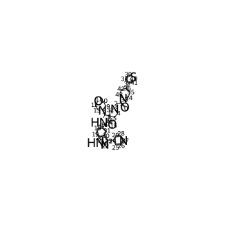 O=C(CN1CCC(CN2CCOCC2)(C(=O)Nc2ccc3[nH]nc(-c4ccncc4)c3c2)C1)N1CC=C(c2ccsc2)CC1